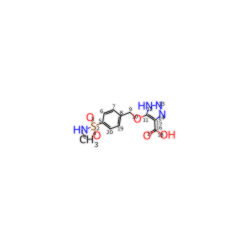 CNS(=O)(=O)c1ccc(COc2[nH]nnc2C(=O)O)cc1